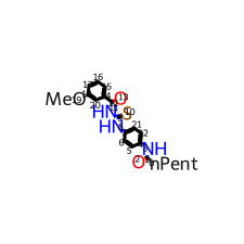 CCCCCC(=O)Nc1ccc(NC(=S)NC(=O)c2cccc(OC)c2)cc1